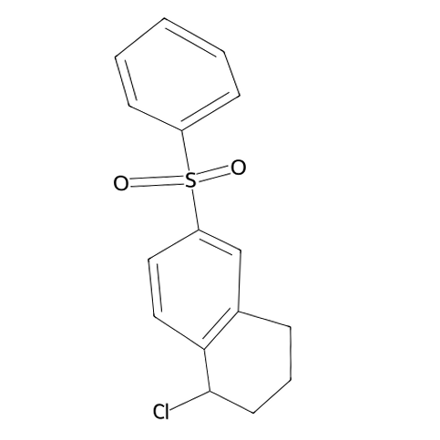 O=S(=O)(c1ccccc1)c1ccc2c(c1)CCCC2Cl